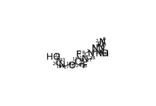 CN1C=C2N=C(N3CCN(c4c(F)cc(OCCN5CCC(O)C5)cc4F)CC3)NC(=O)N2C1